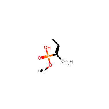 CC=C(C(=O)O)P(=O)(O)OCCC